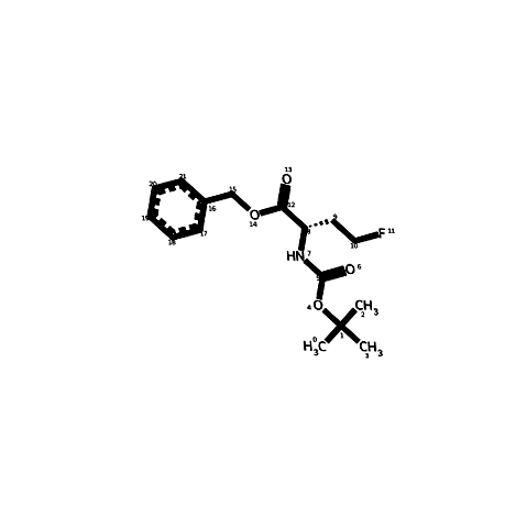 CC(C)(C)OC(=O)N[C@@H](CCF)C(=O)OCc1ccccc1